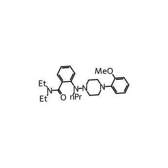 CCCN(c1ccccc1C(=O)N(CC)CC)N1CCN(c2ccccc2OC)CC1